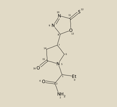 CCC(C(N)=O)N1CC(C2N=NC(=S)O2)CC1=O